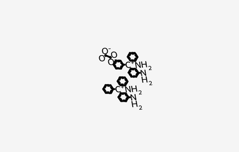 Nc1cccc([C+](c2ccccc2)c2ccccc2)c1N.Nc1cccc([C+](c2ccccc2)c2ccccc2)c1N.O=C([O-])C(=O)[O-]